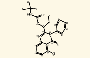 CC[C@H](OC(=O)NC(C)(C)C)c1nc2cccc(Cl)c2c(=O)n1-c1ccccc1